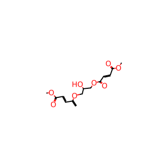 C=C(/C=C/C(=O)OC)OCC(O)COC(=O)/C=C/C(=O)OC